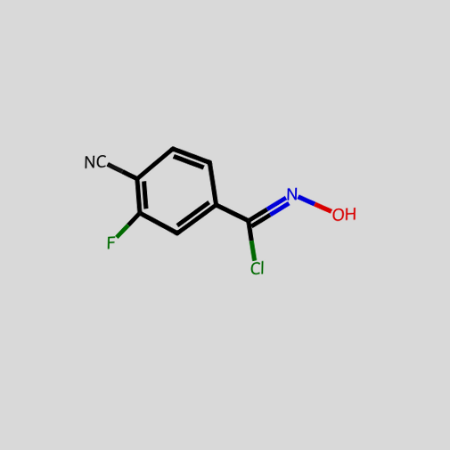 N#Cc1ccc(/C(Cl)=N/O)cc1F